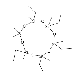 CC[Si]1(C)O[Si](C)(CC)O[Si](C)(CC)O[Si](C)(CC)O[Si](C)(CC)O[Si](C)(CC)O1